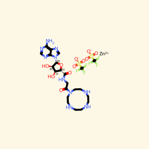 Nc1ncnc2c1ncn2[C@@H]1O[C@H](C(=O)NCC(=O)N2CCNCCNCCNCC2)[C@@H](O)[C@H]1O.O=S(=O)([O-])C(F)(F)F.O=S(=O)([O-])C(F)(F)F.[Zn+2]